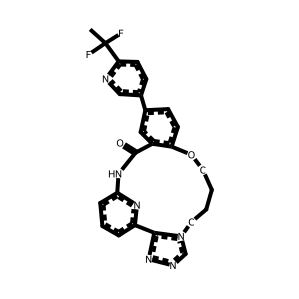 CC(F)(F)c1ccc(-c2ccc3c(c2)C(=O)Nc2cccc(n2)-c2nncn2CCCCO3)cn1